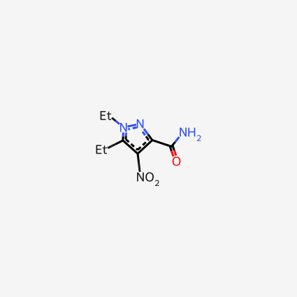 CCc1c([N+](=O)[O-])c(C(N)=O)nn1CC